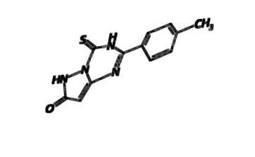 Cc1ccc(-c2nc3cc(=O)[nH]n3c(=S)[nH]2)cc1